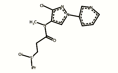 CC(C)[S+]([O-])CCC(=O)N(C)c1cn(-c2cccnc2)nc1Cl